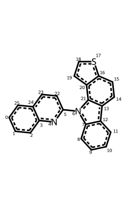 c1ccc2nc(-n3c4ccccc4c4ccc5sccc5c43)ccc2c1